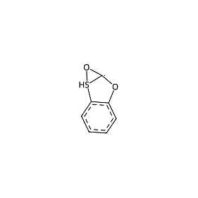 c1ccc2c(c1)O[C]1O[SH]12